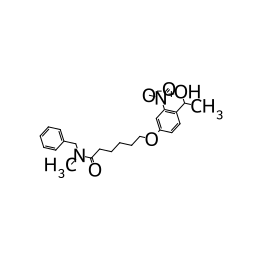 CC(O)c1ccc(OCCCCCC(=O)N(C)Cc2ccccc2)cc1[N+](=O)[O-]